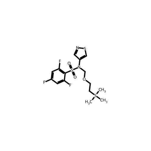 CS(C)(C)CCOCN(c1cnsc1)S(=O)(=O)c1c(F)cc(F)cc1F